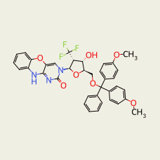 COc1ccc(C(OC[C@H]2O[C@@H](n3cc4c(nc3=O)Nc3ccccc3O4)[C@H](C(F)(F)F)[C@@H]2O)(c2ccccc2)c2ccc(OC)cc2)cc1